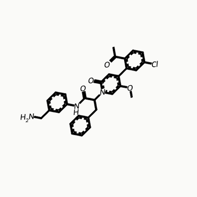 COc1cn(C(Cc2ccccc2)C(=O)Nc2cccc(CN)c2)c(=O)cc1-c1cc(Cl)ccc1C(C)=O